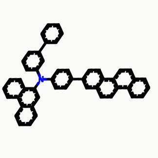 c1ccc(-c2cccc(N(c3ccc(-c4ccc5c(ccc6c7ccccc7ccc56)c4)cc3)c3cc4ccccc4c4ccccc34)c2)cc1